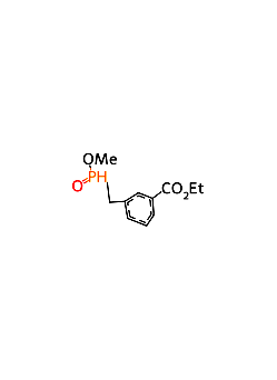 CCOC(=O)c1cccc(CC[PH](=O)OC)c1